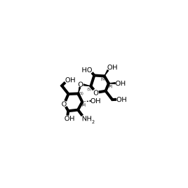 NC1C(O)OC(CO)[C@@H](O[C@@H]2OC(CO)[C@H](O)[C@H](O)C2O)[C@@H]1O